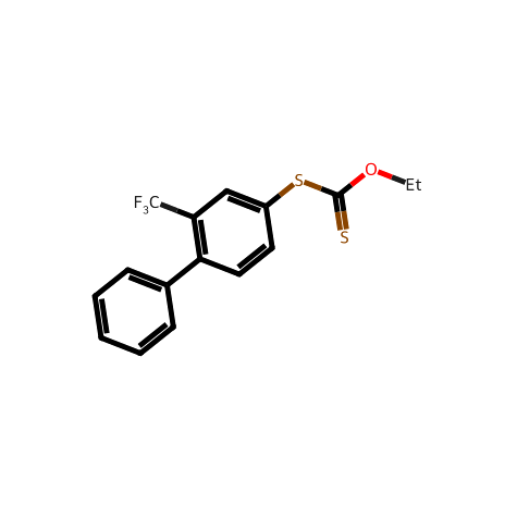 CCOC(=S)Sc1ccc(-c2ccccc2)c(C(F)(F)F)c1